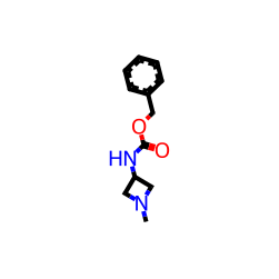 CN1CC(NC(=O)OCc2ccccc2)C1